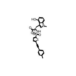 Cc1ccc(C#Cc2ccc(S(=O)(=O)N[C@H](Cc3cn(C)c4cccc(O)c34)C(=O)O)s2)cc1